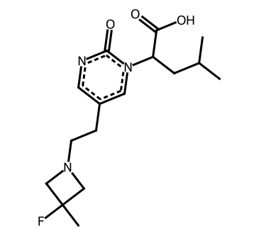 CC(C)CC(C(=O)O)n1cc(CCN2CC(C)(F)C2)cnc1=O